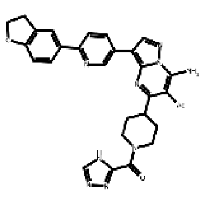 CC(=O)c1c(C2CCN(C(=O)c3nnc[nH]3)CC2)nc2c(-c3ccc(-c4ccc5c(c4)CCO5)nc3)cnn2c1N